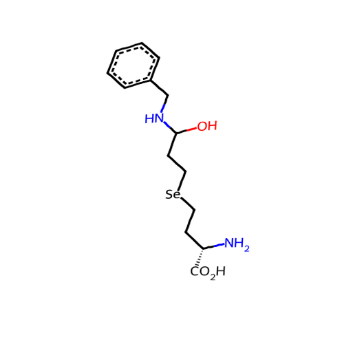 N[C@@H](CC[Se]CCC(O)NCc1ccccc1)C(=O)O